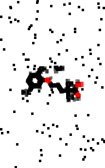 Cc1ccc(C)c(OCCCC(C)(C)C(=O)O)c1.[NaH]